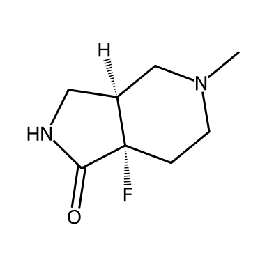 CN1CC[C@@]2(F)C(=O)NC[C@H]2C1